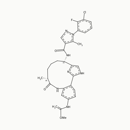 C=C(Nc1ccc2c(c1)NC(=O)[C@H](C)CCC[C@H](NC(=O)c1cnn(-c3cccc(Cl)c3F)c1C)c1c[nH]c-2n1)OC